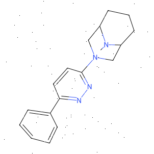 CN1C2CCCC1CN(c1ccc(-c3ccccc3)nn1)C2